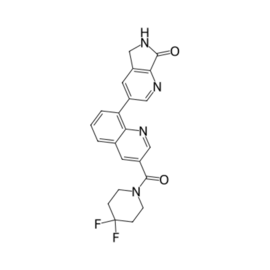 O=C1NCc2cc(-c3cccc4cc(C(=O)N5CCC(F)(F)CC5)cnc34)cnc21